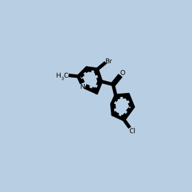 Cc1cc(Br)c(C(=O)c2ccc(Cl)cc2)cn1